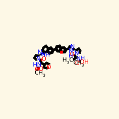 COC(=O)N[C@H](C(=O)N1CCC[C@H]1c1nc2c([nH]1)-c1ccc(-c3ccc4cc(-c5cnc([C@@H]6CCCN6C(=O)[C@@H](NC(=O)O)C(C)C)[nH]5)ccc4c3)cc1CC2)C1CCOCC1